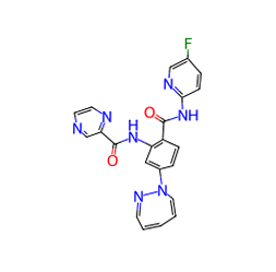 O=C(Nc1cc(N2C=CC=CC=N2)ccc1C(=O)Nc1ccc(F)cn1)c1cnccn1